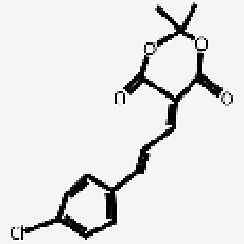 CC1(C)OC(=O)C(=C/C=C/c2ccc(Cl)cc2)C(=O)O1